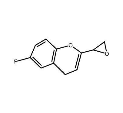 Fc1ccc2c(c1)CC=C(C1CO1)O2